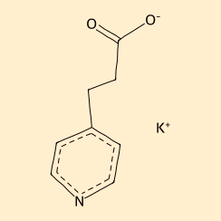 O=C([O-])CCc1ccncc1.[K+]